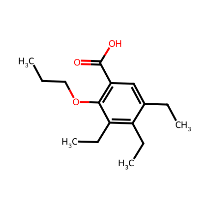 CCCOc1c(C(=O)O)cc(CC)c(CC)c1CC